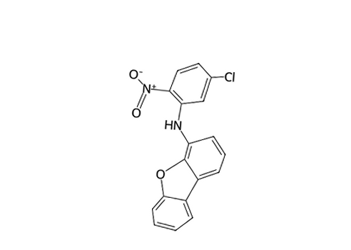 O=[N+]([O-])c1ccc(Cl)cc1Nc1cccc2c1oc1ccccc12